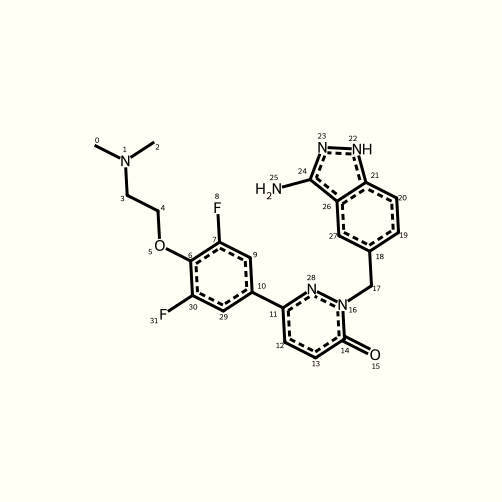 CN(C)CCOc1c(F)cc(-c2ccc(=O)n(Cc3ccc4[nH]nc(N)c4c3)n2)cc1F